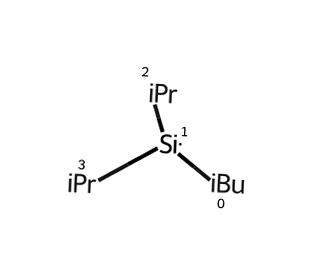 CCC(C)[Si](C(C)C)C(C)C